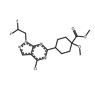 COC(=O)C1(OC)CCC(c2nc(Cl)c3cnn(CC(F)F)c3n2)CC1